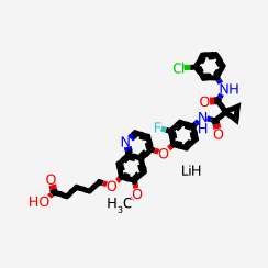 COc1cc2c(Oc3ccc(NC(=O)C4(C(=O)Nc5cccc(Cl)c5)CC4)cc3F)ccnc2cc1OCCCCC(=O)O.[LiH]